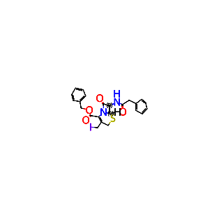 O=C(Cc1ccccc1)N[C@@H]1C(=O)N2C(C(=O)OCc3ccccc3)=C(CI)CS[C@@H]12